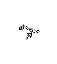 Cc1cc(C[C@@H](CC(=O)N2CCC(n3c(=O)[nH]c4c5ccccc5ncc43)CC2)C(=O)N2CCN(C3CCOCC3)CC2)cc(C)c1OC=O